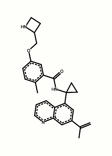 C=C(C)c1cc(C2(NC(=O)c3cc(OCC4CCN4)ccc3C)CC2)c2cccnc2c1